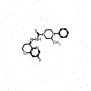 CC1CN(C(=S)N/N=C2/CCOc3cc(F)cnc32)CCN1c1ccccc1